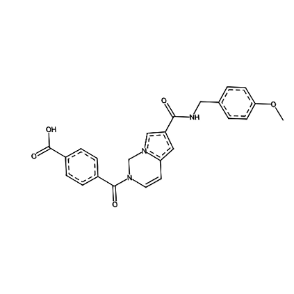 COc1ccc(CNC(=O)c2cc3n(c2)CN(C(=O)c2ccc(C(=O)O)cc2)C=C3)cc1